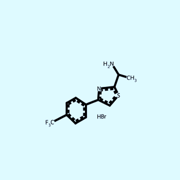 Br.CC(N)c1nc(-c2ccc(C(F)(F)F)cc2)cs1